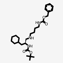 CC(C)(C)OC(=O)N[C@H](CNCCCCNC(=O)OCc1ccccc1)CC1CCCCC1